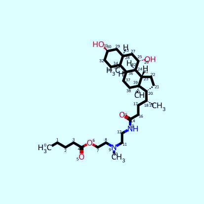 CCCCC(=O)OCCN(C)CCNC(=O)CC[C@@H](C)[C@H]1CC[C@H]2[C@@H]3[C@@H](O)C[C@@H]4C[C@H](O)CC[C@]4(C)[C@H]3CC[C@]12C